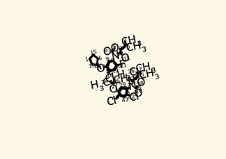 CC(C)=C1OC(=O)N(c2cc(OC3CCCC3)c(Cl)cc2F)C1=O.CC(C)Oc1cc(-n2nc(C(C)(C)C)oc2=O)c(Cl)cc1Cl